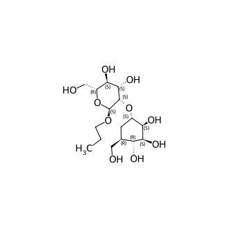 CCCO[C@H]1O[C@H](CO)[C@@H](O)[C@H](O)[C@@H]1O[C@H]1C[C@H](CO)[C@@H](O)[C@H](O)[C@@H]1O